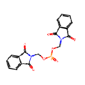 O=C1c2ccccc2C(=O)N1CO[PH](=O)OCN1C(=O)c2ccccc2C1=O